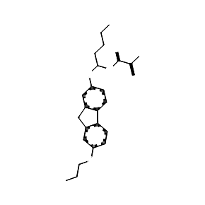 C=C(C)C(=O)OC(CCCC)Oc1ccc2c(c1)Cc1cc(OCCC)ccc1-2